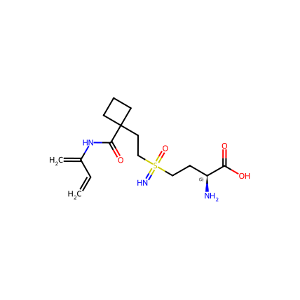 C=CC(=C)NC(=O)C1(CCS(=N)(=O)CC[C@H](N)C(=O)O)CCC1